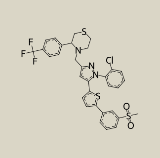 CS(=O)(=O)c1cccc(-c2ccc(-c3cc(CN4CCSCC4c4ccc(C(F)(F)F)cc4)nn3-c3ccccc3Cl)s2)c1